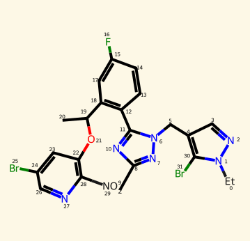 CCn1ncc(Cn2nc(C)nc2-c2ccc(F)cc2C(C)Oc2cc(Br)cnc2[N+](=O)[O-])c1Br